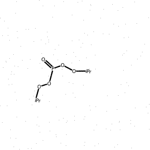 CC(C)OO[P](=O)OOC(C)C